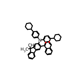 CC1(C)c2ccccc2-c2cc(-c3cccc4ccccc34)c(N(c3ccc(C4CCCCC4)cc3)c3ccc(C4CCCCC4)cc3)cc21